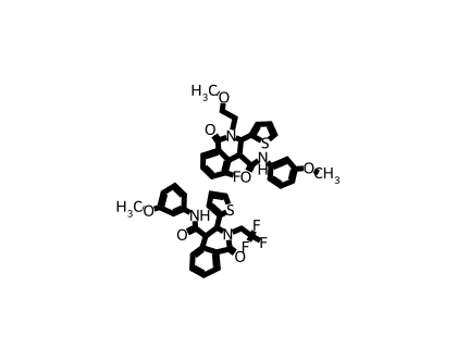 COCCN1C(=O)c2cccc(F)c2C(C(=O)Nc2cccc(OC)c2)C1c1cccs1.COc1cccc(NC(=O)C2c3ccccc3C(=O)N(CC(F)(F)F)C2c2cccs2)c1